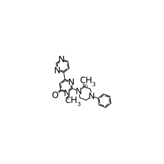 C[C@@H]1CN(c2ccccc2)CCN1c1nc(-c2ccncn2)cc(=O)n1C